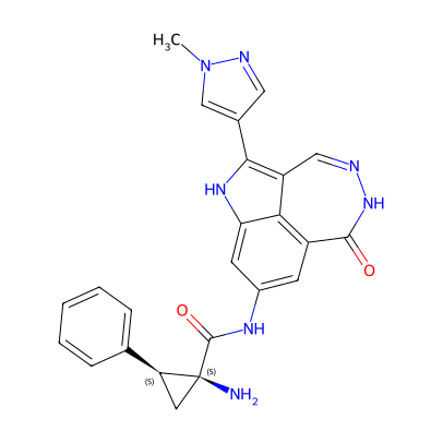 Cn1cc(-c2[nH]c3cc(NC(=O)[C@]4(N)C[C@H]4c4ccccc4)cc4c3c2C=NNC4=O)cn1